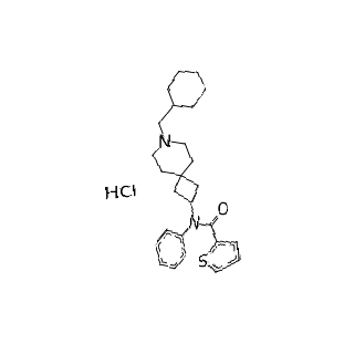 Cl.O=C(c1cccs1)N(c1ccccc1)C1CC2(CCN(CC3CCCCC3)CC2)C1